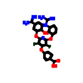 N=C(N)Nc1cccc(Oc2nc(Oc3cc(C(=N)N)ccc3O)c(F)c(Oc3ccc(C(=O)O)cc3)c2F)c1